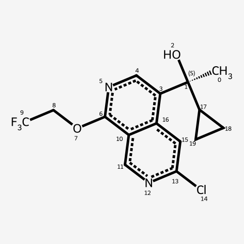 C[C@@](O)(c1cnc(OCC(F)(F)F)c2cnc(Cl)cc12)C1CC1